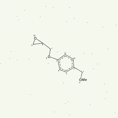 COCc1ccc(OCC2CO2)cc1